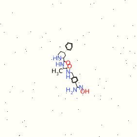 C[C@H](NC(=O)C1C[C@@H](c2ccccc2)CCN1)C(=O)NCc1ccc(/C(N)=N/O)cc1